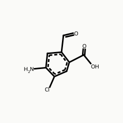 Nc1cc(C=O)c(C(=O)O)cc1Cl